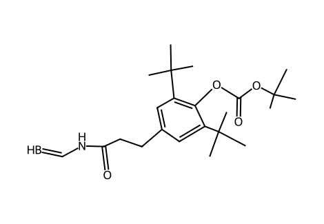 B=CNC(=O)CCc1cc(C(C)(C)C)c(OC(=O)OC(C)(C)C)c(C(C)(C)C)c1